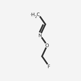 [CH2]C=NOCF